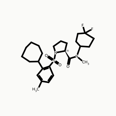 Cc1ccc(S(=O)(=O)N2CCC[C@H]2C(=O)N(C)C2CCC(F)(F)CC2)c(C2CCCCCC2)c1